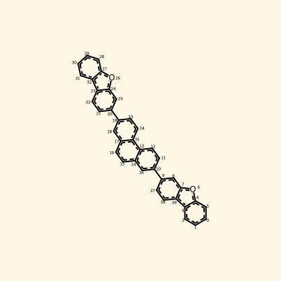 c1ccc2c(c1)oc1cc(-c3ccc4c(ccc5cc(-c6ccc7c(c6)oc6ccccc67)ccc54)c3)ccc12